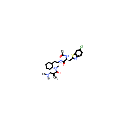 C=C(CN(CC)CC)C(=O)NC[C@H](CC1CCCCC1)NC(=O)[C@H](Cc1nc2ccc(Cl)cc2s1)NC(=O)CC